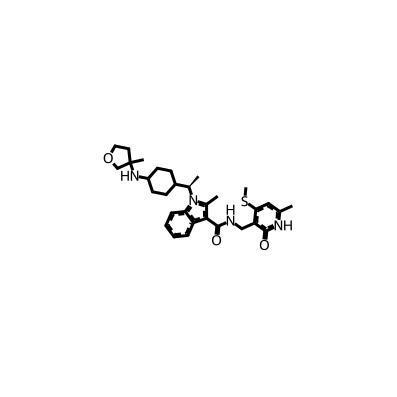 CSc1cc(C)[nH]c(=O)c1CNC(=O)c1c(C)n([C@H](C)C2CCC(NC3(C)CCOC3)CC2)c2ccccc12